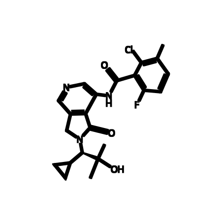 Cc1ccc(F)c(C(=O)Nc2cncc3c2C(=O)N([C@H](C2CC2)C(C)(C)O)C3)c1Cl